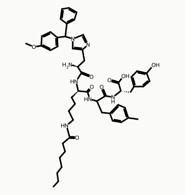 CCCCCCCC(=O)NCCCC[C@@H](NC(=O)[C@@H](N)Cc1cn(C(c2ccccc2)c2ccc(OC)cc2)cn1)C(=O)NC(Cc1ccc(C)cc1)C(=O)N[C@@H](Cc1ccc(O)cc1)C(=O)O